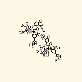 CN(C)/C=N/C(=S)c1cc([C@@H](COC(=O)NC2CC2)N2C(=O)[C@@](CC(C)(C)Cc3nsc(-c4cc([C@@H](COC(=O)NC5CC5)N5C(=O)[C@@](CC(C)(C)C)(c6ccc(-c7cnn(C(F)F)c7)cc6)N/C5=N\C(=O)OC(C)(C)C)ccc4Cl)n3)(c3ccc(-c4cnn(C(F)F)c4)cc3)N/C2=N\C(=O)OC(C)(C)C)ccc1Cl